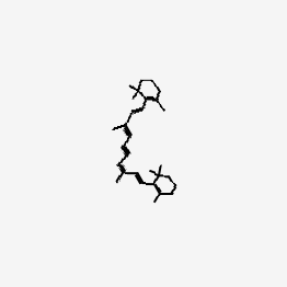 CC(C=CC1=C(C)CCCC1(C)C)=CC=CC=C(C)C=CC1=C(C)CCCC1(C)C